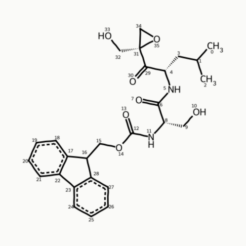 CC(C)C[C@H](NC(=O)[C@H](CO)NC(=O)OCC1c2ccccc2-c2ccccc21)C(=O)[C@@]1(CO)CO1